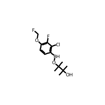 CC(C)(O)C(C)(C)OBc1ccc(OCF)c(F)c1Cl